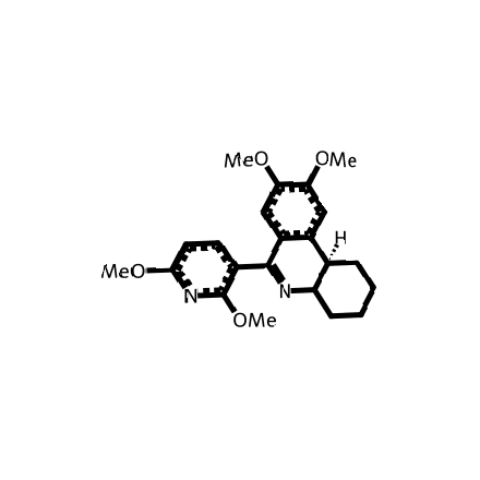 COc1ccc(C2=NC3CCCC[C@@H]3c3cc(OC)c(OC)cc32)c(OC)n1